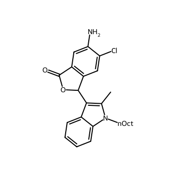 CCCCCCCCn1c(C)c(C2OC(=O)c3cc(N)c(Cl)cc32)c2ccccc21